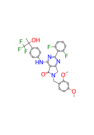 COc1ccc(CN2Cc3nc(-c4c(F)cccc4F)nc(Nc4ccc(C(C)(O)C(F)(F)F)cc4)c3C2=O)c(OC)c1